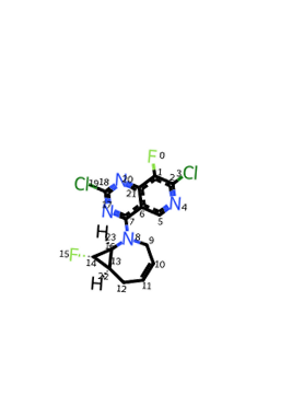 Fc1c(Cl)ncc2c(N3CC=CC[C@H]4[C@H](F)[C@H]43)nc(Cl)nc12